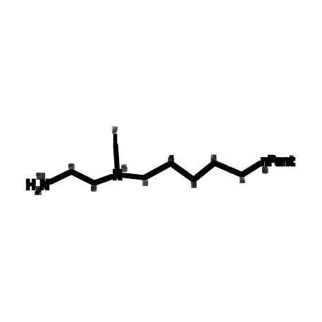 CCCCCCCCCCN(I)CCN